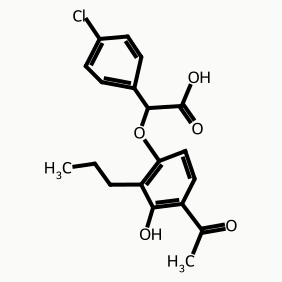 CCCc1c(OC(C(=O)O)c2ccc(Cl)cc2)ccc(C(C)=O)c1O